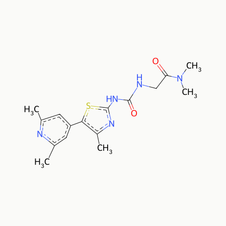 Cc1cc(-c2sc(NC(=O)NCC(=O)N(C)C)nc2C)cc(C)n1